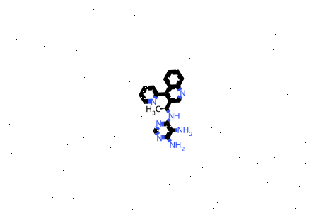 C[C@@H](Nc1ncnc(N)c1N)c1cnc2ccccc2c1-c1ccccn1